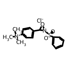 C[N+](C)(C)c1ccc(C2ON2S(=O)(=O)c2ccccc2)cc1.[Cl-]